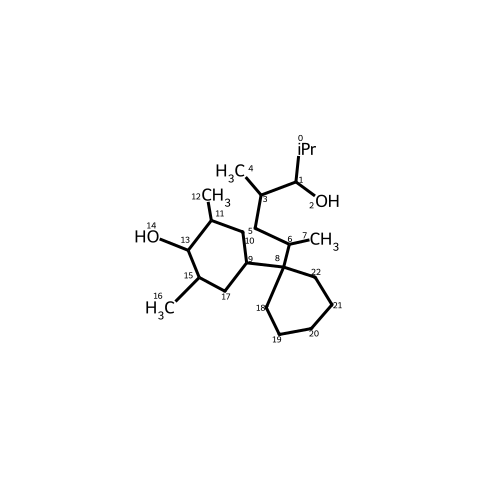 CC(C)C(O)C(C)CC(C)C1(C2CC(C)C(O)C(C)C2)CCCCC1